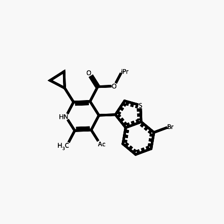 CC(=O)C1=C(C)NC(C2CC2)=C(C(=O)OC(C)C)C1c1csc2c(Br)cccc12